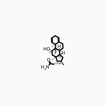 C[C@@H]1C[C@H]2[C@@H]3CCC4=CCC=C[C@]4(C)[C@@]3(F)[C@@H](O)C[C@]2(C)[C@H]1CC(N)=O